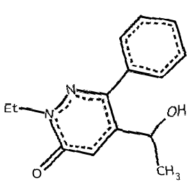 CCn1nc(-c2ccccc2)c(C(C)O)cc1=O